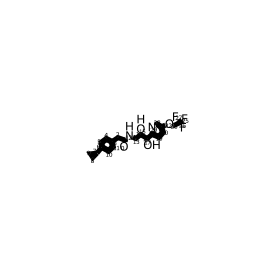 O=C(Cc1ccc(C2CC2)cc1)NCC(O)C(O)c1ccc(OCC(F)(F)F)cn1